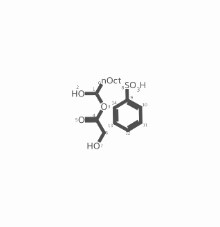 CCCCCCCCC(O)OC(=O)CO.O=S(=O)(O)c1ccccc1